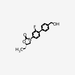 CC[C@H]1CN(c2ccc(-c3ccc(CO)cc3)c(F)c2)C(=O)O1